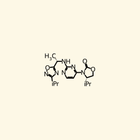 CC(C)c1noc([C@H](C)Nc2nccc(N3C(=O)OC[C@@H]3C(C)C)n2)n1